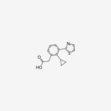 O=C(O)Cc1cccc(-c2nccs2)c1C1CC1